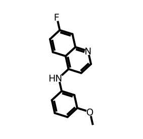 COc1cccc(Nc2ccnc3cc(F)ccc23)c1